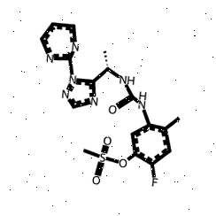 Cc1cc(F)c(OS(C)(=O)=O)cc1NC(=O)N[C@@H](C)c1ncnn1-c1ncccn1